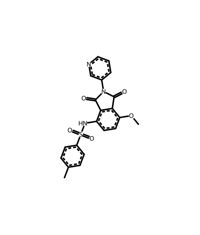 COc1ccc(NS(=O)(=O)c2ccc(C)cc2)c2c1C(=O)N(c1cccnc1)C2=O